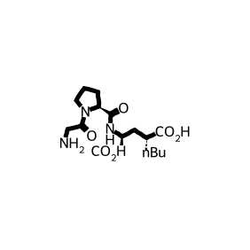 CCCC[C@H](C[C@H](NC(=O)[C@@H]1CCCN1C(=O)CN)C(=O)O)C(=O)O